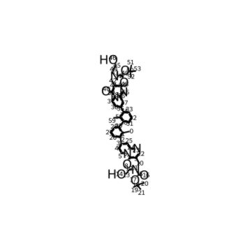 Cc1c(-c2ccn3c(=O)c(CN(CCO)C(=O)OC(C)(C)C)cnc3c2)cccc1-c1cccc(-c2ccn3c(=O)c(CN(CCO)C(=O)OC(C)(C)C)cnc3c2)c1C